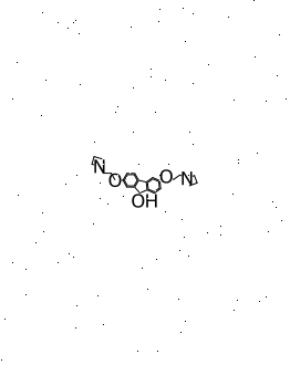 OC1c2ccc(OCCN3CCC3)cc2-c2ccc(OCCN3CCC3)cc21